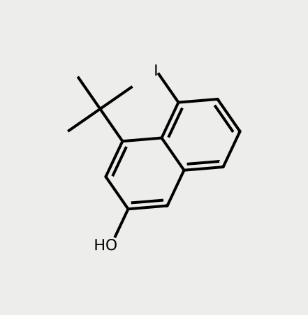 CC(C)(C)c1cc(O)cc2cccc(I)c12